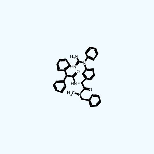 CN(Cc1ccccc1)C(=O)[C@H](NC(=O)C(c1ccccc1)c1ccccc1)c1cccc(N(C(=N)N)c2ccccc2)c1